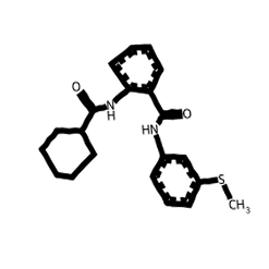 CSc1cccc(NC(=O)c2ccccc2NC(=O)C2CCCCC2)c1